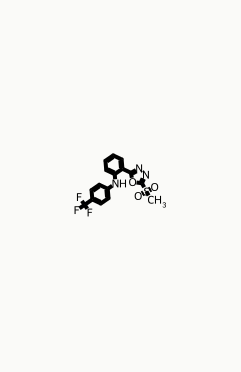 CS(=O)(=O)c1nnc(-c2ccccc2Nc2ccc(C(F)(F)F)cc2)o1